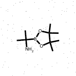 CC(C)(N)B1OC(C)(C)C(C)(C)O1